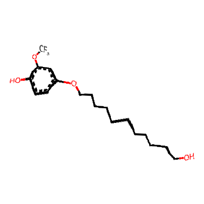 OCCCCCCCCCCCOc1ccc(O)c(OC(F)(F)F)c1